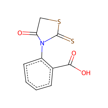 O=C(O)c1ccccc1N1C(=O)CSC1=S